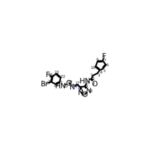 O=C(CCc1ccc(F)cc1)Nc1nonc1/C=N/ONc1ccc(F)c(Br)c1